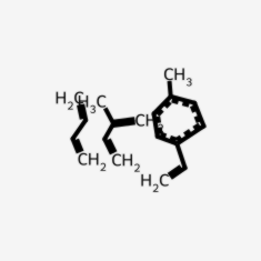 C=CC(=C)C.C=CC=C.C=Cc1ccc(C)cc1